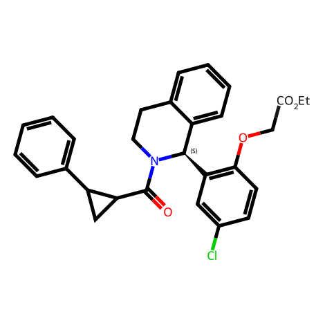 CCOC(=O)COc1ccc(Cl)cc1[C@@H]1c2ccccc2CCN1C(=O)C1CC1c1ccccc1